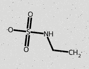 [CH2]CNS([O])(=O)=O